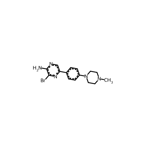 CN1CCN(c2ccc(-c3cnc(N)c(Br)n3)cc2)CC1